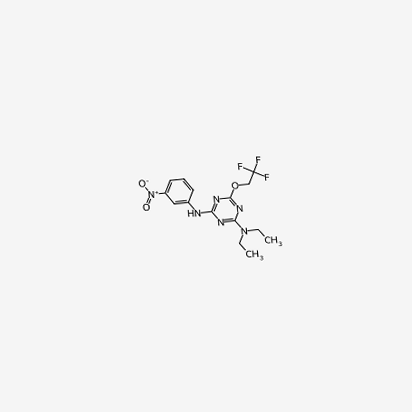 CCN(CC)c1nc(Nc2cccc([N+](=O)[O-])c2)nc(OCC(F)(F)F)n1